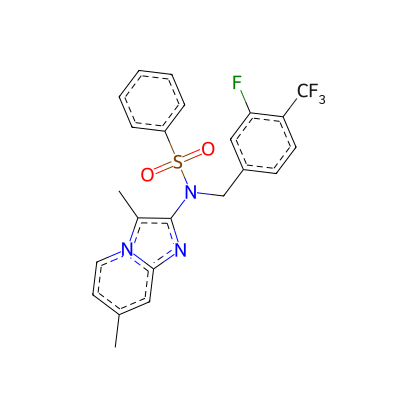 Cc1ccn2c(C)c(N(Cc3ccc(C(F)(F)F)c(F)c3)S(=O)(=O)c3ccccc3)nc2c1